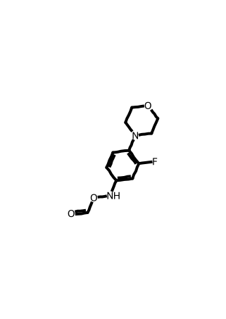 O=CONc1ccc(N2CCOCC2)c(F)c1